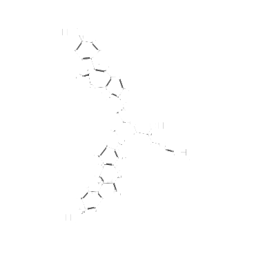 C=COCC(O)COC(COc1ccc2cc(-c3ccc(C)cc3)c(=O)sc2c1)COc1ccc2cc(-c3ccc(C)cc3)c(=O)sc2c1